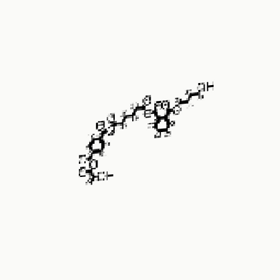 CC(O)C(=O)OC(=O)c1ccc(C(=O)OC(=O)CCCCC(=O)OC(=O)c2ccccc2C(=O)OCCCCO)cc1